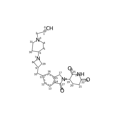 C#CCN1CCC(N2CC(Cc3ccc4c(c3)CN(C3CCC(=O)NC3=O)C4=O)C2)CC1